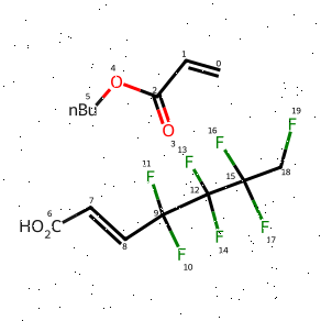 C=CC(=O)OCCCC.O=C(O)C=CC(F)(F)C(F)(F)C(F)(F)CF